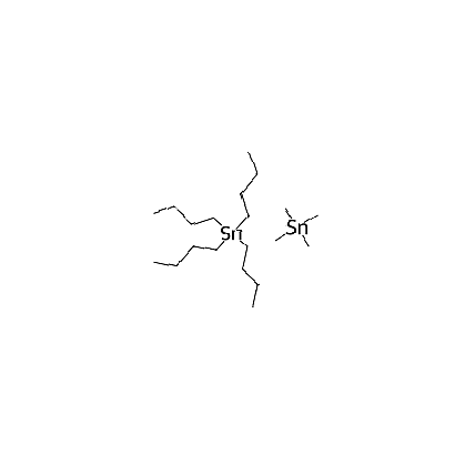 CCC[CH2][Sn]([CH2]CCC)([CH2]CCC)[CH2]CCC.[CH3][Sn]([CH3])([CH3])[CH3]